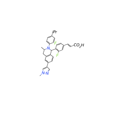 CC(C)c1ccc(N2C(C)Cc3cc(-c4cnn(C)c4)ccc3C2c2c(F)cc(/C=C/C(=O)O)cc2F)cc1